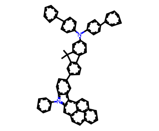 CC1(C)c2cc(-c3ccc4c(c3)c3c5ccc6cccc7ccc(cc3n4-c3ccccc3)c5c76)ccc2-c2ccc(N(c3ccc(-c4ccccc4)cc3)c3ccc(-c4ccccc4)cc3)cc21